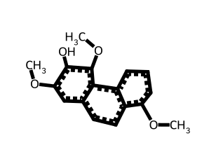 COc1cc2ccc3c(OC)cccc3c2c(OC)c1O